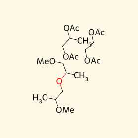 CC(=O)OCC(C)OC(C)=O.CC(=O)OCCOC(C)=O.COCC(C)OCC(C)OC